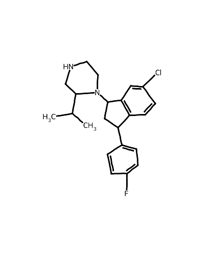 CC(C)C1CNCCN1C1CC(c2ccc(F)cc2)c2ccc(Cl)cc21